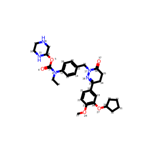 CCN(C(=O)OC1CNCCN1)c1ccc(CN2N=C(c3ccc(OC)c(OC4CCCC4)c3)CCC2=O)cc1